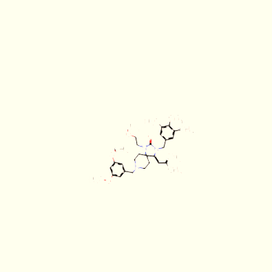 C=C(C)C=C1N(Cc2cc(C)c(C)c(C)c2)C(=O)N(CCOC)C12CCN(Cc1cc(OC)cc(OC)c1)CC2